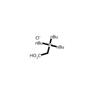 CCCC[P+](CCCC)(CCCC)CC(=O)O.[Cl-]